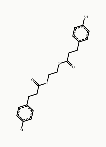 O=C(CCc1ccc(S)cc1)OCCOC(=O)CCc1ccc(S)cc1